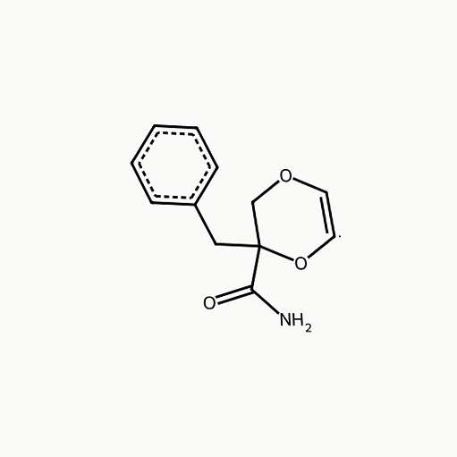 NC(=O)C1(Cc2ccccc2)COC=[C]O1